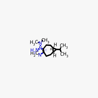 C=N/C1=C(\N(N)N(C)C)CC[C@H]2C(C(C)C)[C@H]2CC1